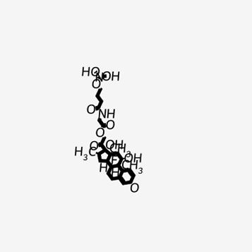 C[C@@H]1C[C@H]2[C@@H]3CCC4=CC(=O)C=C[C@]4(C)[C@@]3(F)[C@@H](O)C[C@]2(C)[C@@]1(O)C(=O)COC(=O)CNC(=O)CCCON(O)O